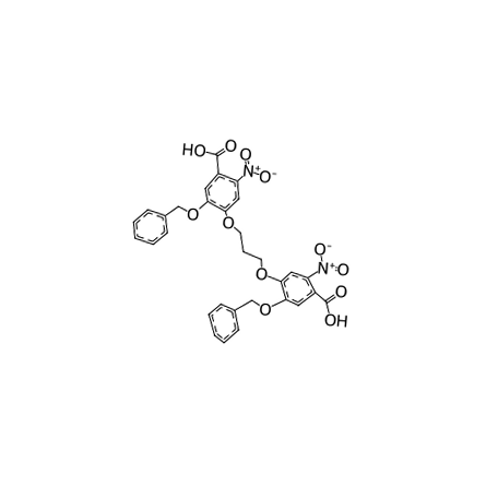 O=C(O)c1cc(OCc2ccccc2)c(OCCCOc2cc([N+](=O)[O-])c(C(=O)O)cc2OCc2ccccc2)cc1[N+](=O)[O-]